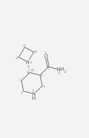 NC(=O)C1CNCC[C@@H]1N1CCC1